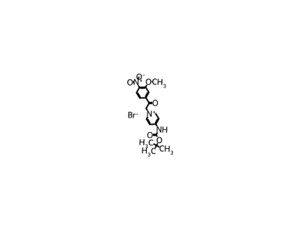 COc1cc(C(=O)C[n+]2ccc(NC(=O)OC(C)(C)C)cc2)ccc1[N+](=O)[O-].[Br-]